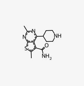 Cc1nc(C2CCNCC2)c2c(C(N)=O)c(C)sc2n1